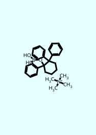 C[N+](C)(C)C.OB(O)OC1(c2ccccc2)CCCCC1(c1ccccc1)c1ccccc1